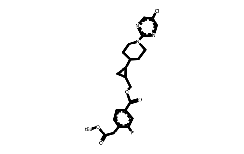 CC(C)(C)OC(=O)Cc1ccc(C(=O)OCC2CC2C2CCN(c3ncc(Cl)cn3)CC2)cc1F